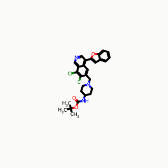 CC(C)(C)OC(=O)NC1CCN(Cc2cc3c(-c4cc5ccccc5o4)cncc3c(Cl)c2Cl)CC1